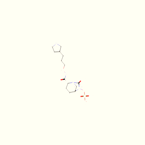 O=C(NOCCCC1CCNC1)[C@@H]1CCC2CN1C(=O)N2OS(=O)(=O)O